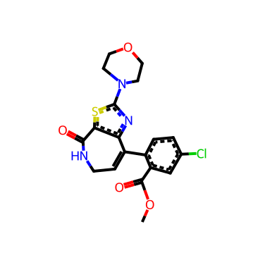 COC(=O)c1cc(Cl)ccc1C1=CCNC(=O)c2sc(N3CCOCC3)nc21